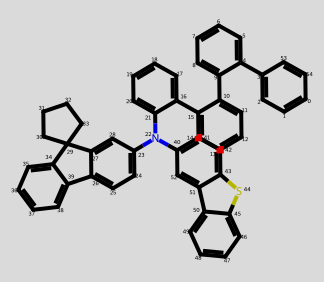 c1ccc(-c2ccccc2-c2ccccc2-c2ccccc2N(c2ccc3c(c2)C2(CCCC2)c2ccccc2-3)c2ccc3sc4ccccc4c3c2)cc1